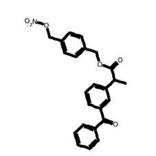 CC(C(=O)OCc1ccc(CO[N+](=O)[O-])cc1)c1cccc(C(=O)c2ccccc2)c1